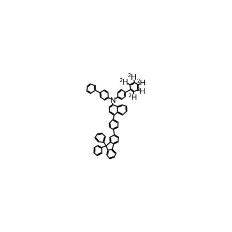 [2H]c1c([2H])c([2H])c(-c2ccc(N(c3ccc(-c4ccccc4)cc3)c3ccc(-c4ccc(-c5ccc6c(c5)C(c5ccccc5)(c5ccccc5)c5ccccc5-6)cc4)c4ccccc34)cc2)c([2H])c1[2H]